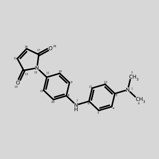 CN(C)c1ccc(Nc2ccc(N3C(=O)C=CC3=O)cc2)cc1